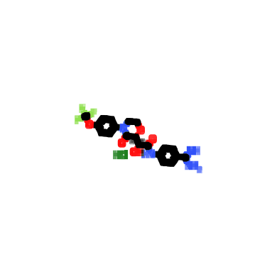 Cl.N=C(N)c1ccc(NC(=O)[C@H](O)[C@H]2OCCN(c3ccc(OC(F)(F)F)cc3)C2=O)cc1